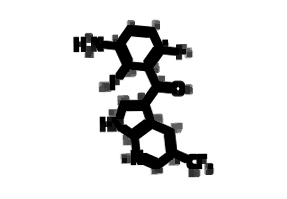 Nc1ccc(F)c(C(=O)c2c[nH]c3ncc(C(F)(F)F)cc23)c1F